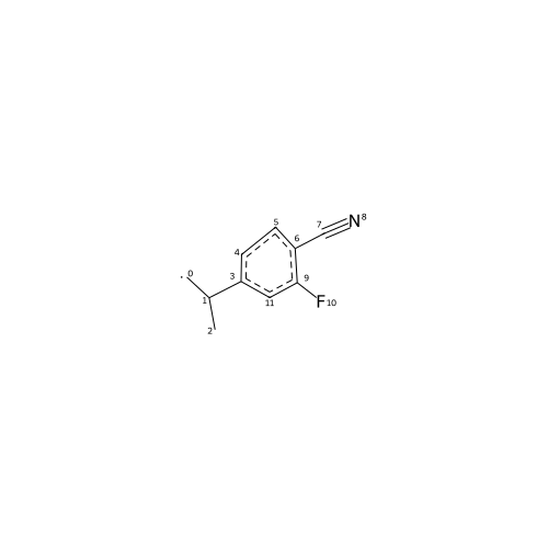 [CH2]C(C)c1ccc(C#N)c(F)c1